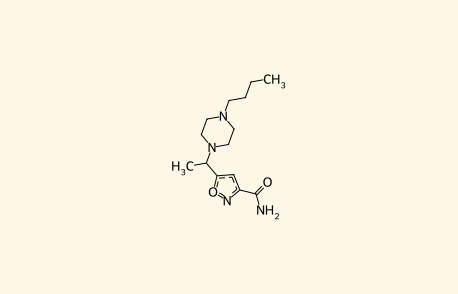 CCCCN1CCN(C(C)c2cc(C(N)=O)no2)CC1